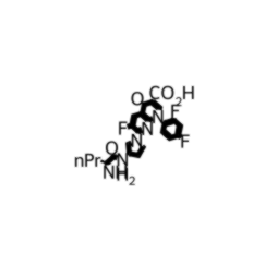 CCC[C@H](N)C(=O)NC1CCN(c2nc3c(cc2F)c(=O)c(C(=O)O)cn3-c2ccc(F)cc2F)C1